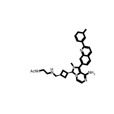 CC(=O)NCCNC[C@H]1C[C@@H](C2N(C)C(c3ccc4ccc(C5=CC(C)CC=C5)nc4c3)=C3C(N)=NC=CN32)C1